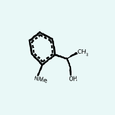 CNc1ccccc1[C@@H](C)O